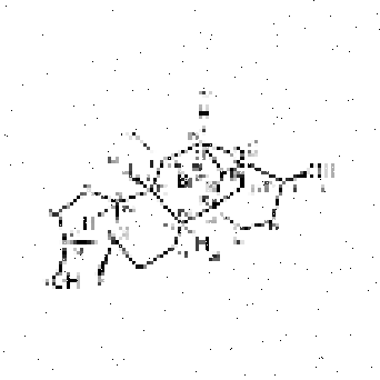 C[C@H]1[C@H]2[C@@H]3CC[C@H](O)[C@@]3(C)CC[C@@H]2[C@@]23CC[C@H](O)C[C@]2(Br)[C@@H]1OC3